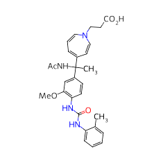 COc1cc(C(C)(NC(C)=O)C2=CC=CN(CCC(=O)O)C=C2)ccc1NC(=O)Nc1ccccc1C